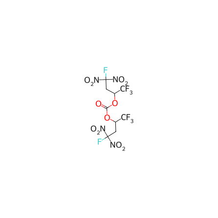 O=C(OC(CC(F)([N+](=O)[O-])[N+](=O)[O-])C(F)(F)F)OC(CC(F)([N+](=O)[O-])[N+](=O)[O-])C(F)(F)F